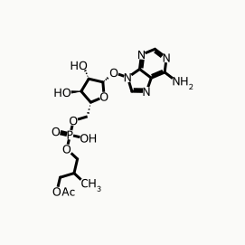 CC(=O)OCC(C)COP(=O)(O)OC[C@H]1O[C@@H](On2cnc3c(N)ncnc32)[C@@H](O)[C@@H]1O